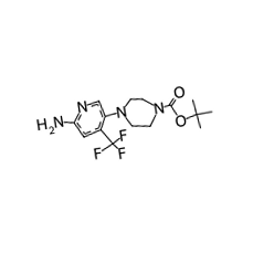 CC(C)(C)OC(=O)N1CCN(c2cnc(N)cc2C(F)(F)F)CC1